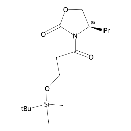 CC(C)[C@@H]1COC(=O)N1C(=O)CCO[Si](C)(C)C(C)(C)C